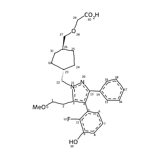 COCCc1c(-c2cccc(O)c2F)c(-c2ccccc2)nn1C[C@H]1CC[C@H](COCC(=O)O)CC1